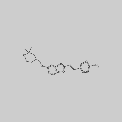 CC1(C)CC(COc2ccc3oc(C=Cc4ccc(N)cc4)cc3c2)CCO1